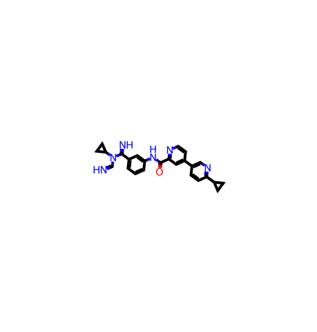 N=CN(C(=N)c1cccc(NC(=O)c2cc(-c3ccc(C4CC4)nc3)ccn2)c1)C1CC1